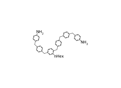 CCCCCCc1cc(Cc2ccc(Cc3ccc(N)cc3)cc2)ccc1Cc1ccc(Cc2ccc(Cc3ccc(N)cc3)cc2)cc1